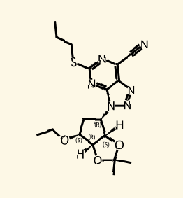 CCCSc1nc(C#N)c2nnn([C@@H]3C[C@H](OCC)[C@H]4OC(C)(C)O[C@H]43)c2n1